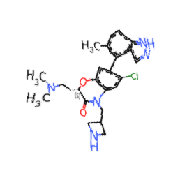 Cc1ccc2[nH]ncc2c1-c1cc2c(cc1Cl)N(CC1CNC1)C(=O)[C@H](CCN(C)C)O2